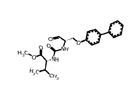 COC(=O)[C@H](NC(=O)N[C@H](C=O)COc1ccc(-c2ccccc2)cc1)C(C)C